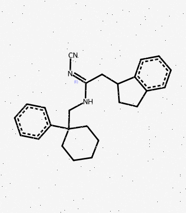 N#C/N=C(\CC1CCc2ccccc21)NCC1(c2ccccc2)CCCCC1